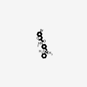 C[N+](C)(Cc1ccc(NC(=O)C2=Cc3cc(Br)ccc3OC2)cc1)C1CCCCC1.[I-]